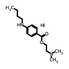 CCCCNc1ccc(C(=O)OCCN(C)C)cc1.I